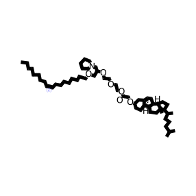 CCCCCCCC/C=C\CCCCCCCCOCC(CN1CCCCC1)OCCOCCOC(=O)COC1CC[C@@]2(C)C(=CCC3[C@@H]4CCC(C(C)CCCC(C)C)C4(C)CC[C@@H]32)C1